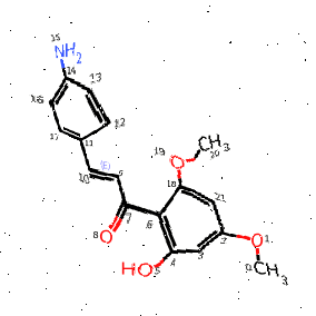 COc1cc(O)c(C(=O)/C=C/c2ccc(N)cc2)c(OC)c1